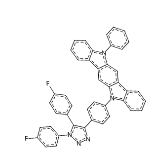 Fc1ccc(-c2c(-c3ccc(-n4c5ccccc5c5cc6c(cc54)c4ccccc4n6-c4ccccc4)cc3)nnn2-c2ccc(F)cc2)cc1